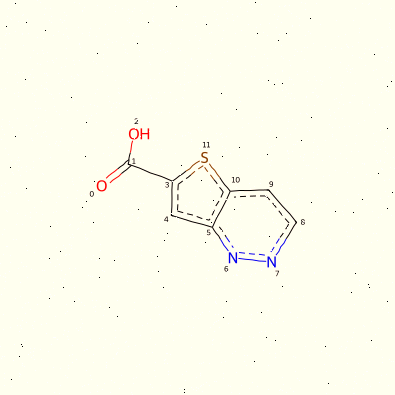 O=C(O)c1cc2nnccc2s1